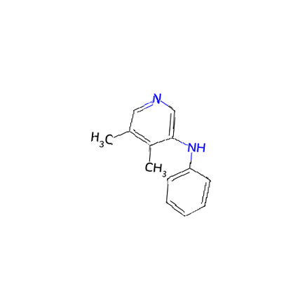 Cc1cncc(Nc2ccccc2)c1C